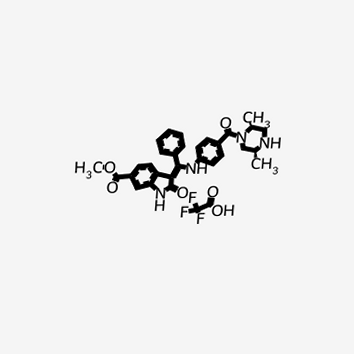 COC(=O)c1ccc2c(c1)NC(=O)/C2=C(\Nc1ccc(C(=O)N2C[C@H](C)NC[C@H]2C)cc1)c1ccccc1.O=C(O)C(F)(F)F